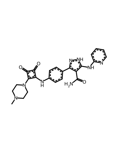 CN1CCN(c2c(Nc3ccc(-c4n[nH]c(Nc5ccccn5)c4C(N)=O)cc3)c(=O)c2=O)CC1